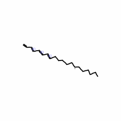 C=C/C=C/C=C/C=C/CCCCC[CH]CCCCCC